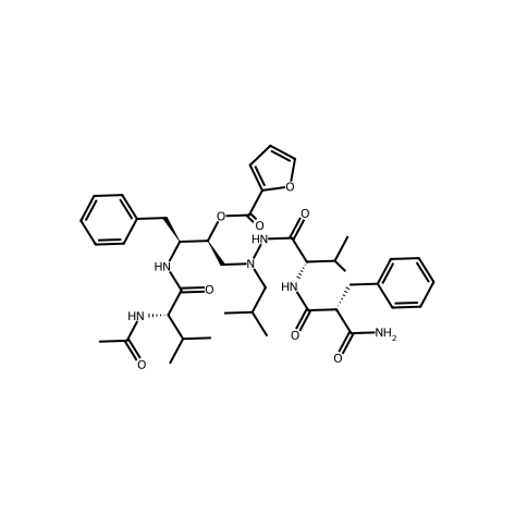 CC(=O)N[C@H](C(=O)N[C@@H](Cc1ccccc1)[C@H](CN(CC(C)C)NC(=O)[C@@H](NC(=O)[C@H](Cc1ccccc1)C(N)=O)C(C)C)OC(=O)c1ccco1)C(C)C